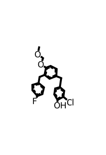 COCOc1ccc(Cc2ccc(O)c(Cl)c2)cc1Cc1ccc(F)cc1